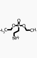 CCOP(=O)(CC[NH])OCC